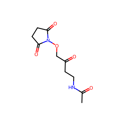 CC(=O)NCCC(=O)CON1C(=O)CCC1=O